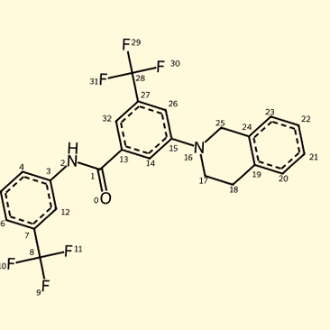 O=C(Nc1cccc(C(F)(F)F)c1)c1cc(N2CCc3ccccc3C2)cc(C(F)(F)F)c1